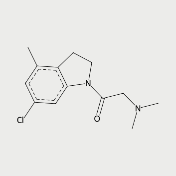 Cc1cc(Cl)cc2c1CCN2C(=O)CN(C)C